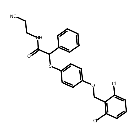 N#CCCNC(=O)C(Sc1ccc(OCc2c(Cl)cccc2Cl)cc1)c1ccccc1